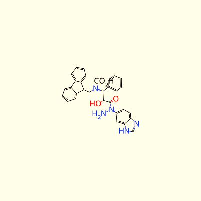 NN(C(=O)[C@H](O)[C@H](c1ccccc1)N(CC1c2ccccc2-c2ccccc21)C(=O)O)c1ccc2nc[nH]c2c1